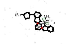 CCCC1=Cc2c(-c3ccc(C(C)(C)C)cc3)cccc2[CH]1[Zr]([Cl])([Cl])([c]1ccccc1)([CH]1C=Cc2ccccc21)[SiH](C)C